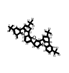 CC1C=C(C(C)(C)C)C=C2C3=C4C(CC(C(C)(C)C)=C3)c3c(ccc5c3oc3c5ccc5c3c3c6n5-c5ccc(C(C)(C)C)cc5C6CC(C(C)(C)C)=C3)N4C21